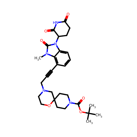 Cn1c(=O)n(C2CCC(=O)NC2=O)c2cccc(C#CCN3CCOC4(CCN(C(=O)OC(C)(C)C)CC4)C3)c21